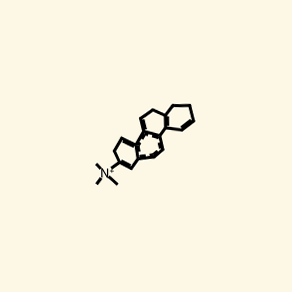 C[N+](C)(C)C1=Cc2ccc3c(c2=CC1)=CCC1=C3C=CCC1